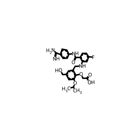 CC(C)Oc1cc(CO)cc(CNc2cc(F)ccc2C(=O)Nc2ccc(C(=N)N)cc2)c1OCC(=O)O